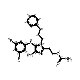 CC(C)c1nc(CCOC(N)=O)n(CCCc2ccncc2)c1Sc1cc(F)cc(F)c1